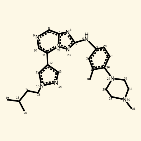 Cc1cc(Nc2nc3cncc(-c4cnn(CCC(C)C)c4)n3n2)ccc1N1CCN(C)CC1